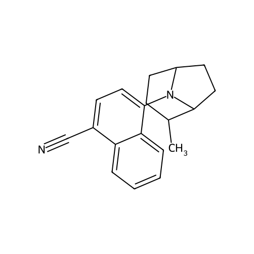 CC1CCC2CCC1N2c1ccc(C#N)c2ccccc12